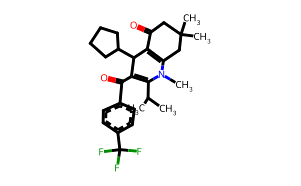 CC(C)C1=C(C(=O)c2ccc(C(F)(F)F)cc2)C(C2CCCC2)C2=C(CC(C)(C)CC2=O)N1C